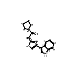 O=C(Nc1nc(-c2c[nH]c3ncccc23)cs1)N1CCCC1